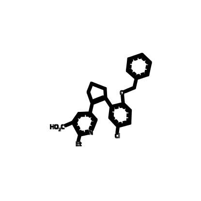 CCc1ncc(C2=C(c3cc(Cl)ccc3OCc3ccccc3)CCC2)cc1C(=O)O